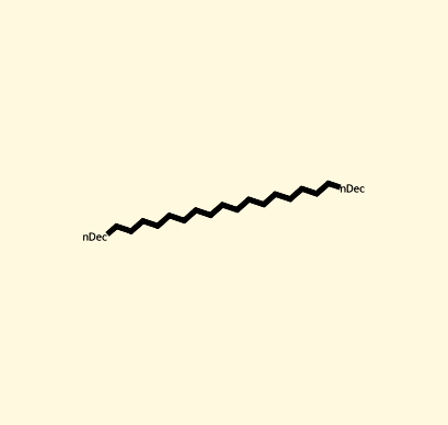 CCCCCCC[CH]CCCCCCCCCCCCCCCCCCCCCCCCCCCCC